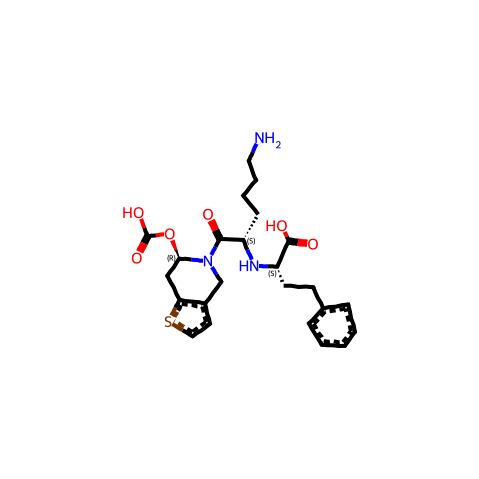 NCCCC[C@H](N[C@@H](CCc1ccccc1)C(=O)O)C(=O)N1Cc2ccsc2C[C@H]1OC(=O)O